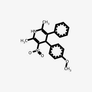 COc1ccc(C2C(c3ccccc3)=C(C)NC(C)=C2[N+](=O)[O-])cc1